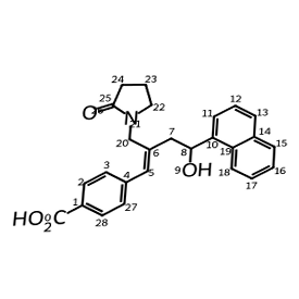 O=C(O)c1ccc(C=C(CC(O)c2cccc3ccccc23)CN2CCCC2=O)cc1